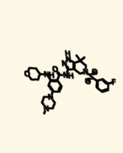 CN1CCN(c2ccc(C(=O)Nc3n[nH]c4c3CN(S(=O)(=O)c3cccc(F)c3)CC4(C)C)c(NC3CCOCC3)c2)CC1